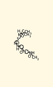 C=CC(=O)NC1CCN(C(=O)[C@@H]2CCC[C@H](Nc3ncc(SCc4ncc(C(C)(C)C)o4)s3)C2)CC1